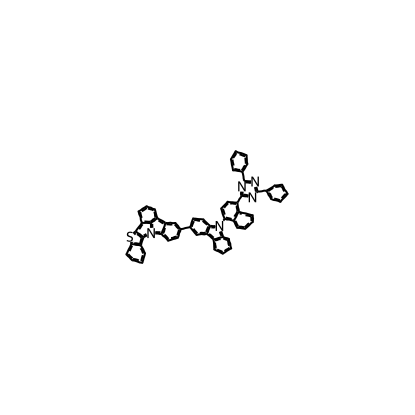 c1ccc(-c2nc(-c3ccccc3)nc(-c3ccc(-n4c5ccccc5c5cc(-c6ccc7c(c6)c6cccc8c9sc%10ccccc%10c9n7c68)ccc54)c4ccccc34)n2)cc1